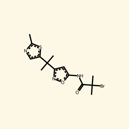 Cc1ncc(C(C)(C)c2cc(NC(=O)C(C)(C)Br)on2)s1